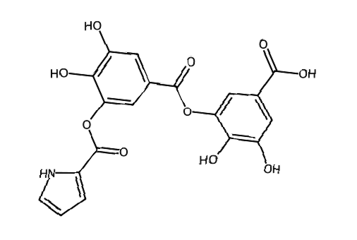 O=C(O)c1cc(O)c(O)c(OC(=O)c2cc(O)c(O)c(OC(=O)c3ccc[nH]3)c2)c1